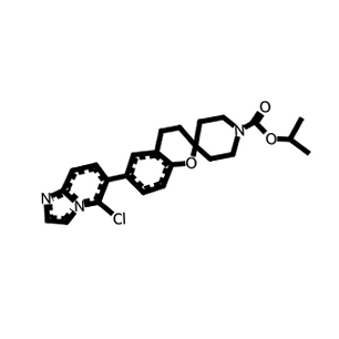 CC(C)OC(=O)N1CCC2(CCc3cc(-c4ccc5nccn5c4Cl)ccc3O2)CC1